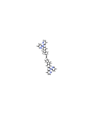 CC1(C)c2cc(C#Cc3ccc4c(c3)C(C)(C)c3cc(N(c5ccccn5)c5ccccn5)ccc3-4)ccc2-c2ccc(N(c3ccccn3)c3ccccn3)cc21